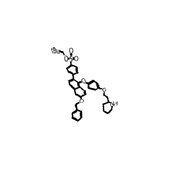 CC(C)(C)COS(=O)(=O)c1ccc(-c2ccc3cc(OCc4ccccc4)ccc3c2Oc2ccc(OCCC3CCCCN3)cc2)cc1